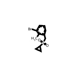 Cc1c(Br)cccc1CS(=O)(=O)C1CC1